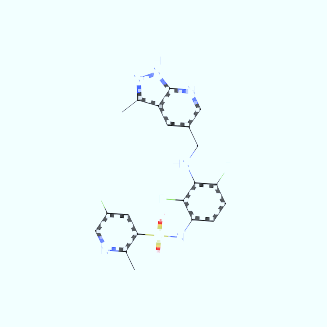 Cc1ncc(F)cc1S(=O)(=O)Nc1ccc(F)c(NCc2cnc3[nH]nc(C)c3c2)c1F